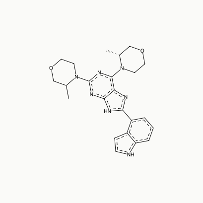 CC1COCCN1c1nc(N2CCOC[C@H]2C)c2nc(-c3cccc4[nH]ccc34)[nH]c2n1